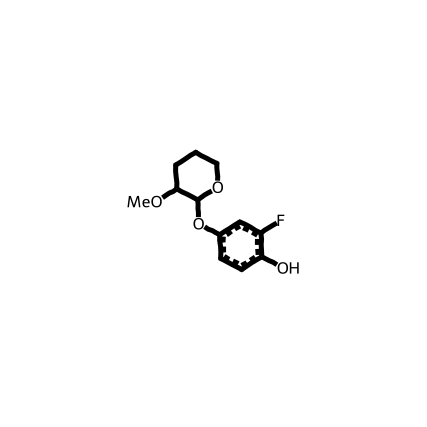 COC1CCCOC1Oc1ccc(O)c(F)c1